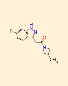 CC1CN(C(=O)Cc2n[nH]c3cc(F)ccc23)C1